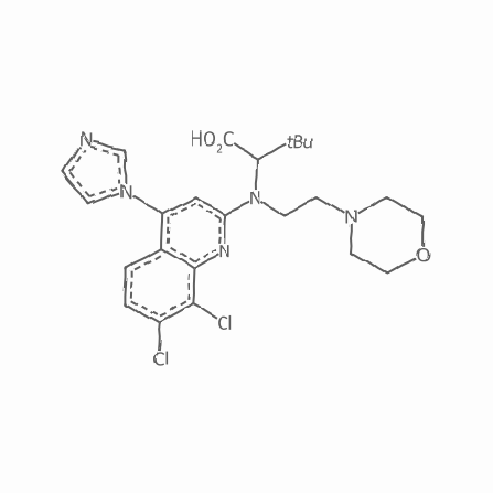 CC(C)(C)C(C(=O)O)N(CCN1CCOCC1)c1cc(-n2ccnc2)c2ccc(Cl)c(Cl)c2n1